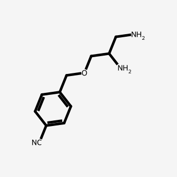 N#Cc1ccc(COCC(N)CN)cc1